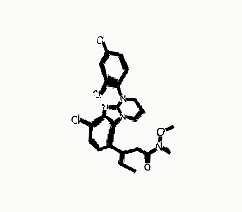 CCC(CC(=O)N(C)OC)c1ccc(Cl)c2nc3n(c12)CCCN3c1ccc(Cl)cc1Cl